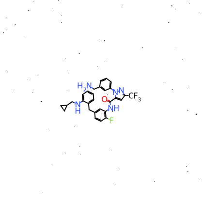 NCc1cccc(-n2nc(C(F)(F)F)cc2C(=O)Nc2cc(Cc3ccccc3NCC3CC3)ccc2F)c1